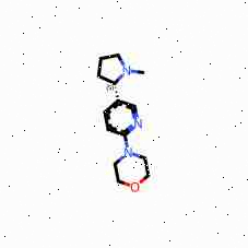 CN1CCC[C@H]1c1ccc(N2CCOCC2)nc1